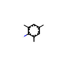 Bc1cc(C)cc(C(=O)O)c1N